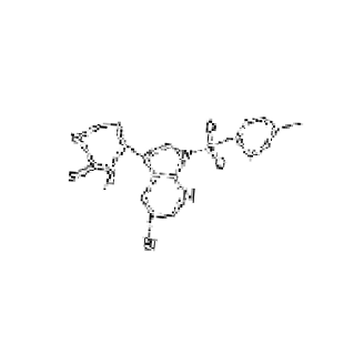 Cc1ccc(S(=O)(=O)n2cc(-c3ccnc(=S)[nH]3)c3cc(Br)cnc32)cc1